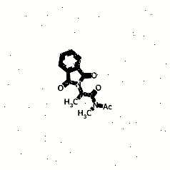 CC(=O)N(C)C(=O)C(C)N1C(=O)c2ccccc2C1=O